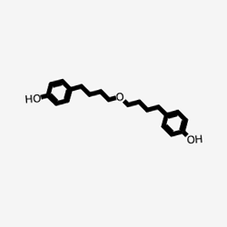 Oc1ccc(CCCCOCCCCc2ccc(O)cc2)cc1